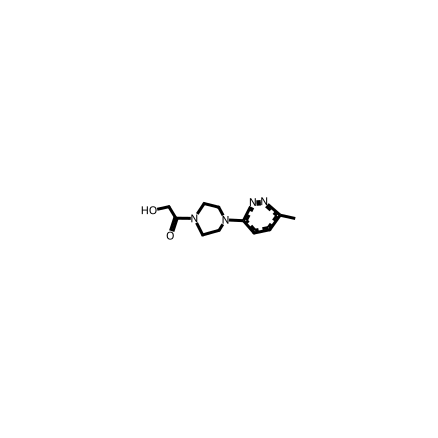 Cc1ccc(N2CCN(C(=O)CO)CC2)nn1